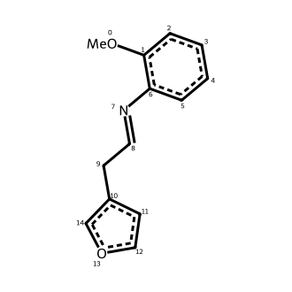 COc1ccccc1N=CCc1ccoc1